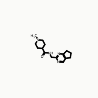 CN1CCC(C(=O)NCc2ncc3c(n2)CCC3)CC1